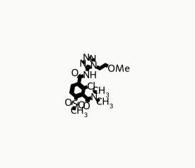 COCCn1nnnc1NC(=O)c1ccc(S(C)(=O)=O)c(C(=O)N(C)C)c1Cl